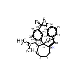 CN(C)CC1CCCC/C(=C/c2ccccc2)C1(O)c1cccc(C(F)(F)F)c1